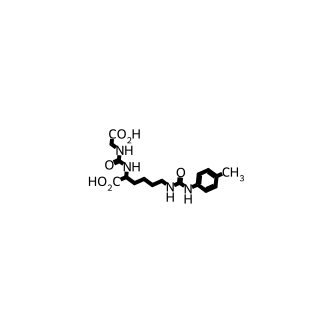 Cc1ccc(NC(=O)NCCCCC(NC(=O)NCC(=O)O)C(=O)O)cc1